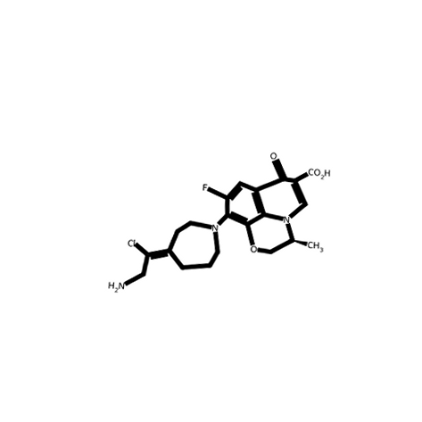 C[C@H]1COc2c(N3CCC/C(=C(/Cl)CN)CC3)c(F)cc3c(=O)c(C(=O)O)cn1c23